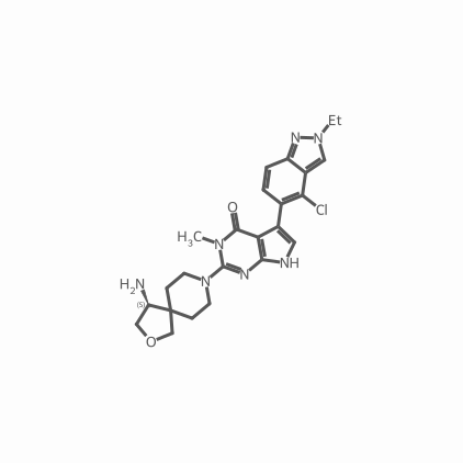 CCn1cc2c(Cl)c(-c3c[nH]c4nc(N5CCC6(CC5)COC[C@H]6N)n(C)c(=O)c34)ccc2n1